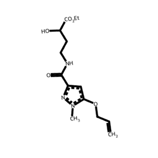 C=CCOc1cc(C(=O)NCCC(O)C(=O)OCC)nn1C